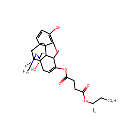 CC(=O)[C@@H](CC(=O)O)OC(=O)CCC(=O)OC1=CC[C@@]2(O)[C@H]3Cc4ccc(O)c5c4[C@@]2(CCN3C)[C@H]1O5